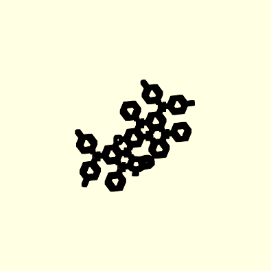 Cc1ccc(N(c2ccc(C)cc2)c2cc3c4c(c2)N(c2ccccc2)c2cc5c(cc2B4c2ccccc2N3c2ccccc2)B2c3c(cc(N(c4ccc(C)cc4)c4ccc(C)cc4)cc3N(c3ccccc3)C3Sc4ccccc4C23)O5)cc1